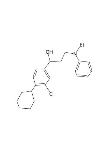 CCN(CCC(O)c1ccc(C2CCCCC2)c(Cl)c1)c1ccccc1